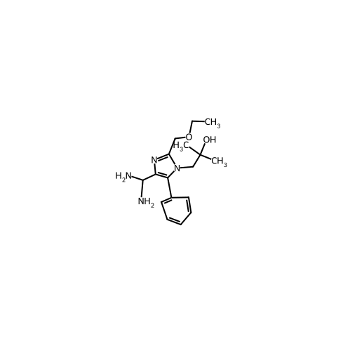 CCOCc1nc(C(N)N)c(-c2ccccc2)n1CC(C)(C)O